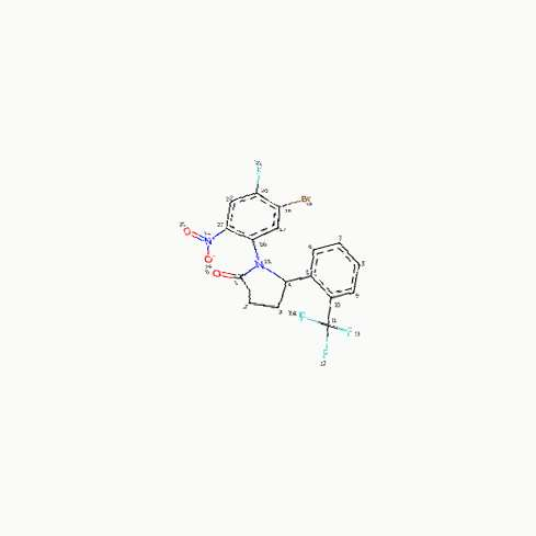 O=C1CCC(c2ccccc2C(F)(F)F)N1c1cc(Br)c(F)cc1[N+](=O)[O-]